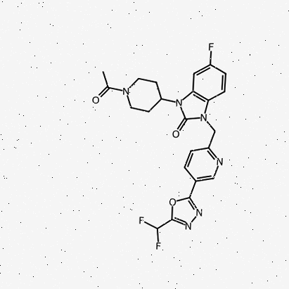 CC(=O)N1CCC(n2c(=O)n(Cc3ccc(-c4nnc(C(F)F)o4)cn3)c3ccc(F)cc32)CC1